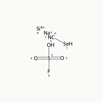 N#C[SeH].O=S(=O)(O)F.[Na+].[Si+4]